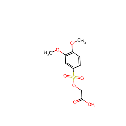 COc1ccc(S(=O)(=O)OCC(=O)O)cc1OC